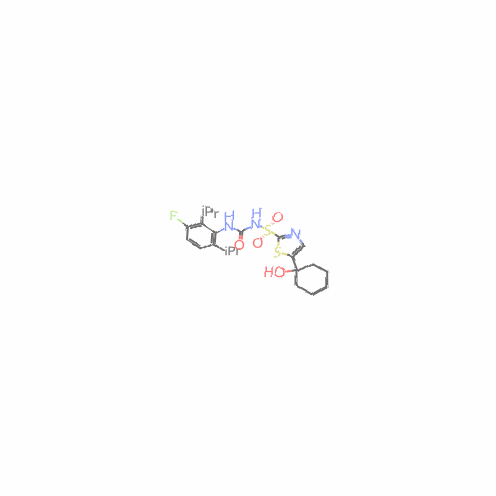 CC(C)c1ccc(F)c(C(C)C)c1NC(=O)NS(=O)(=O)c1ncc(C2(O)CCCCC2)s1